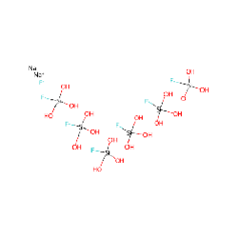 O[Si](O)(O)F.O[Si](O)(O)F.O[Si](O)(O)F.O[Si](O)(O)F.O[Si](O)(O)F.[F-].[Na+].[Na+].[O-][Si](O)(O)F